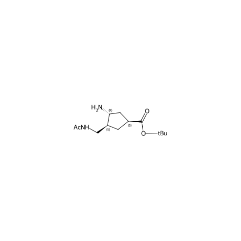 CC(=O)NC[C@@H]1C[C@H](C(=O)OC(C)(C)C)C[C@H]1N